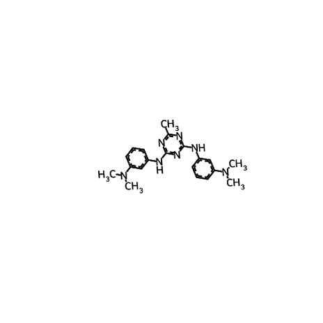 Cc1nc(Nc2cccc(N(C)C)c2)nc(Nc2cccc(N(C)C)c2)n1